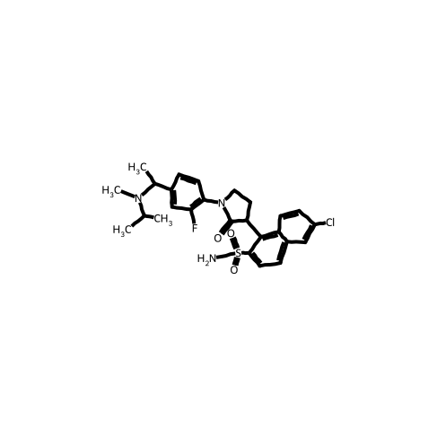 CC(C)N(C)C(C)c1ccc(N2CCC(c3c(S(N)(=O)=O)ccc4cc(Cl)ccc34)C2=O)c(F)c1